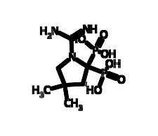 CC1(C)[C]C(P(=O)(O)O)(P(=O)(O)O)N(C(=N)N)C1